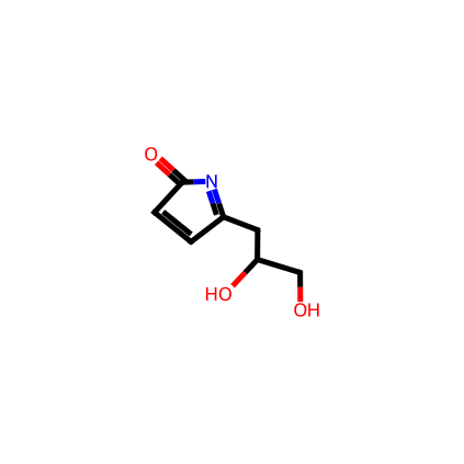 O=C1C=CC(CC(O)CO)=N1